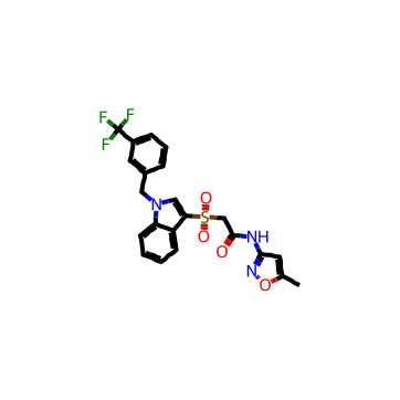 Cc1cc(NC(=O)CS(=O)(=O)c2cn(Cc3cccc(C(F)(F)F)c3)c3ccccc23)no1